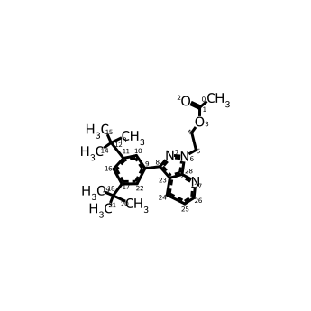 CC(=O)OCCn1nc(-c2cc(C(C)(C)C)cc(C(C)(C)C)c2)c2cccnc21